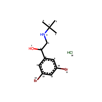 CC(C)(C)NCC(O)c1cc(Br)cc(Br)c1.Cl